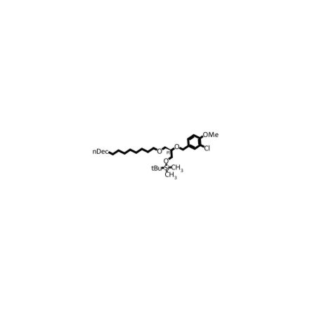 CCCCCCCCCCCCCCCCCCOC[C@H](CO[Si](C)(C)C(C)(C)C)OCc1ccc(OC)c(Cl)c1